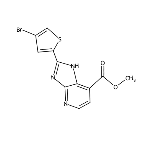 COC(=O)c1ccnc2nc(-c3cc(Br)cs3)[nH]c12